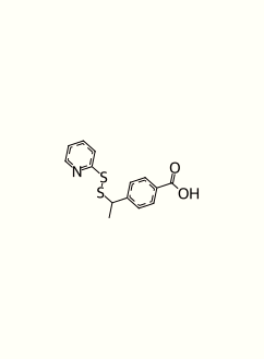 CC(SSc1ccccn1)c1ccc(C(=O)O)cc1